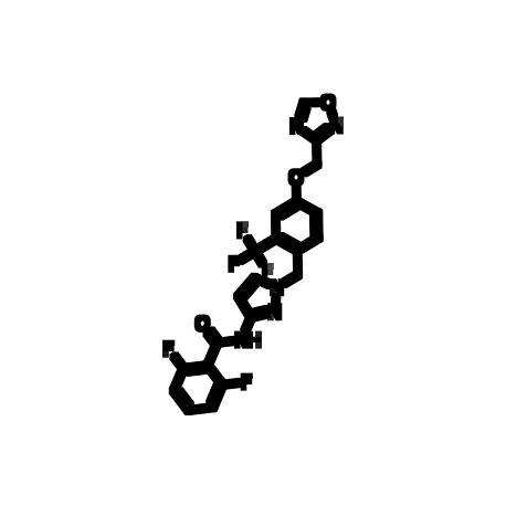 O=C(Nc1ccn(Cc2ccc(OCc3ncon3)cc2C(F)(F)F)n1)c1c(F)cccc1F